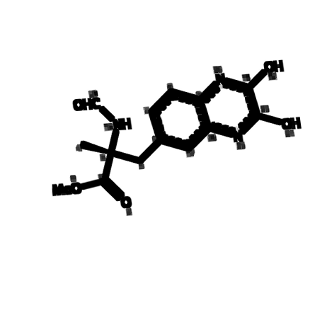 COC(=O)[C@@](C)(Cc1ccc2nc(O)c(O)nc2c1)NC=O